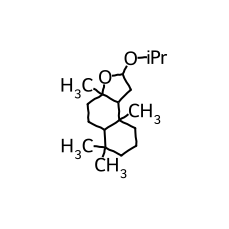 CC(C)OC1CC2C(C)(CCC3C(C)(C)CCCC32C)O1